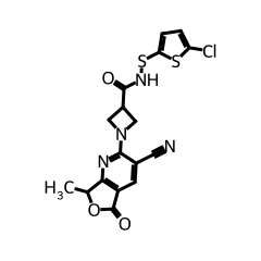 CC1OC(=O)c2cc(C#N)c(N3CC(C(=O)NSc4ccc(Cl)s4)C3)nc21